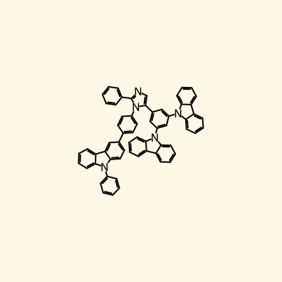 c1ccc(-c2ncc(-c3cc(-n4c5ccccc5c5ccccc54)cc(-n4c5ccccc5c5ccccc54)c3)n2-c2ccc(-c3ccc4c(c3)c3ccccc3n4-c3ccccc3)cc2)cc1